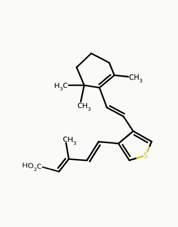 CC1=C(/C=C/c2cscc2/C=C/C(C)=C/C(=O)O)C(C)(C)CCC1